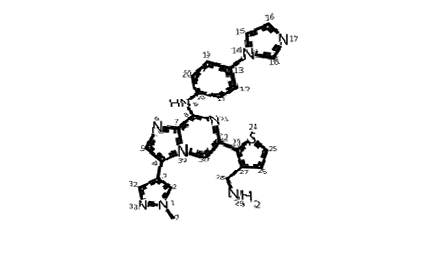 Cn1cc(-c2cnc3c(Nc4ccc(-n5ccnc5)cc4)nc(-c4sccc4CN)cn23)cn1